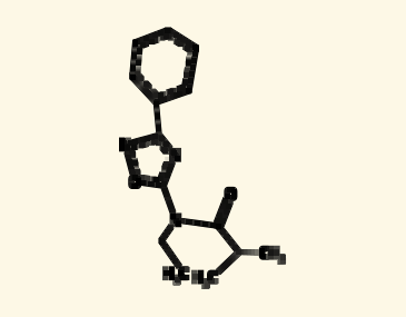 CCN(C(=O)C(C)C)c1nc(-c2ccccc2)no1